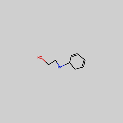 OCCNC1C=CC=CC1